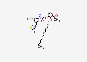 Br.CCCCCCCCCCCCCCOc1c(OCC(=O)Nc2cccc(CN3C=C(C)SC3)c2)cccc1C(C)=O